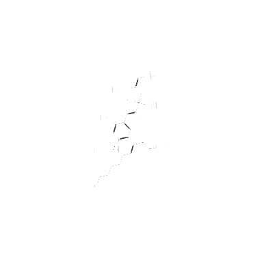 C/C=C(/C)CC(C)(C)/C(C)=C/c1cc(/C(=C\CCCCCC)CCC)c(NC)cc1C